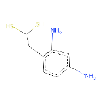 Nc1ccc(CC(S)S)c(N)c1